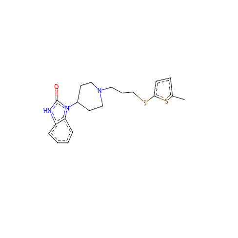 Cc1ccc(SCCCN2CCC(n3c(=O)[nH]c4ccccc43)CC2)s1